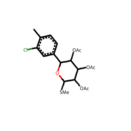 CSC1OC(c2ccc(C)c(Cl)c2)C(OC(C)=O)C(OC(C)=O)C1OC(C)=O